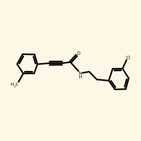 Cc1cccc(C#CC(=O)NCCc2cccc(Cl)c2)c1